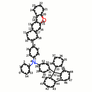 c1ccc(N(c2ccc(-c3ccc4cc5c(cc4c3)oc3ccccc35)cc2)c2ccc(C3(c4ccccc4)c4ccccc4-c4ccccc43)cc2)cc1